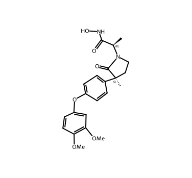 COc1ccc(Oc2ccc([C@]3(C)CCN([C@H](C)C(=O)NO)C3=O)cc2)cc1OC